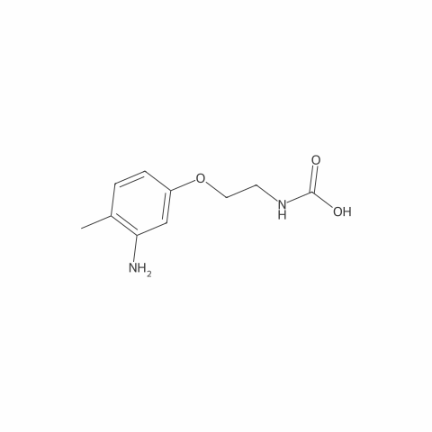 Cc1ccc(OCCNC(=O)O)cc1N